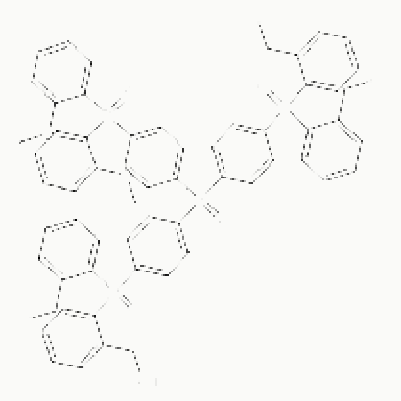 COc1ccccc1P(=O)(c1ccc(P(=O)(c2ccc(P(=O)(c3ccccc3CO)c3ccccc3CO)cc2)c2ccc(P(=O)(c3ccccc3CO)c3ccccc3CO)cc2)cc1)c1ccccc1OC